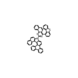 c1ccc2c(c1)ccc1c(-c3cccc4sc5ccccc5c34)nc(-n3c4ccc5ccccc5c4c4c5c6ccccc6c6ccccc6c5ccc43)nc12